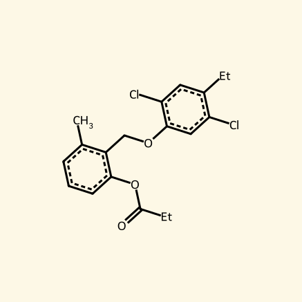 CCC(=O)Oc1cccc(C)c1COc1cc(Cl)c(CC)cc1Cl